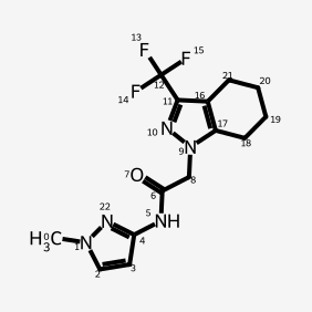 Cn1ccc(NC(=O)Cn2nc(C(F)(F)F)c3c2CCCC3)n1